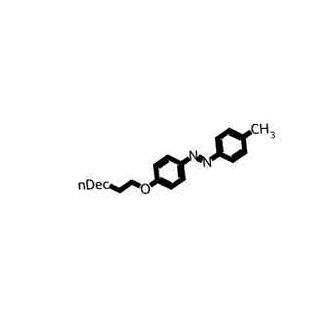 CCCCCCCCCCCCOc1ccc(N=Nc2ccc(C)cc2)cc1